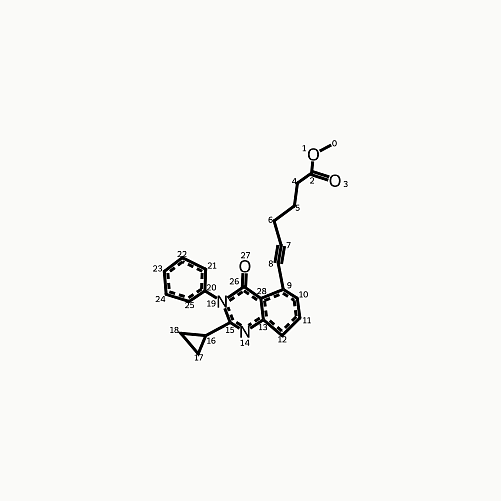 COC(=O)CCCC#Cc1cccc2nc(C3CC3)n(-c3ccccc3)c(=O)c12